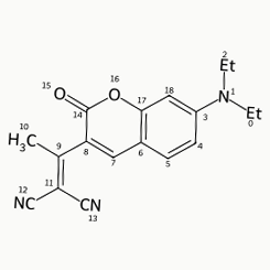 CCN(CC)c1ccc2cc(C(C)=C(C#N)C#N)c(=O)oc2c1